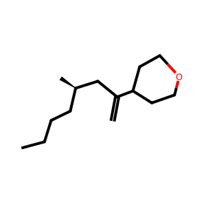 C=C(C[C@H](C)CCCC)C1CCOCC1